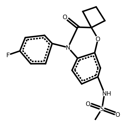 CS(=O)(=O)Nc1ccc2c(c1)OC1(CCC1)C(=O)N2c1ccc(F)cc1